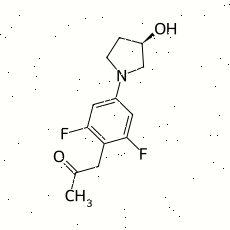 CC(=O)Cc1c(F)cc(N2CC[C@@H](O)C2)cc1F